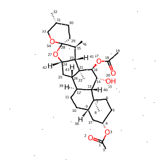 CC(=O)O[C@H]1CC[C@@]2(C)[C@@H](CC[C@@H]3[C@@H]2[C@@H](O)[C@H](OC(C)=O)[C@]2(C)[C@@H]4[C@H](C[C@@H]32)O[C@]2(CC[C@@H](C)CO2)[C@H]4C)C1